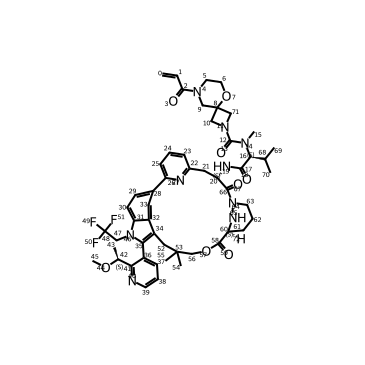 C=CC(=O)N1CCOC2(C1)CN(C(=O)N(C)[C@H](C(=O)N[C@H]1Cc3cccc(n3)-c3ccc4c(c3)c(c(-c3cccnc3[C@H](C)OC)n4CC(F)(F)F)CC(C)(C)COC(=O)[C@@H]3CCCN(N3)C1=O)C(C)C)C2